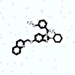 O=C(O)[C@H]1CCCC[C@H]1c1nc2cc(OCc3ccc4ccccc4n3)ccc2n1Cc1cccc(OC(F)(F)F)c1